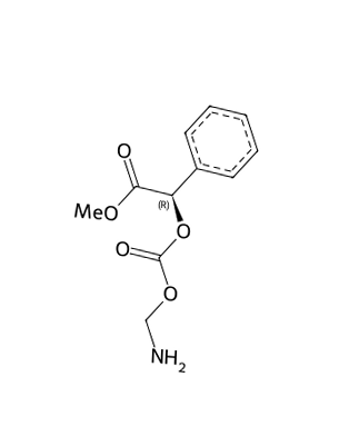 COC(=O)[C@H](OC(=O)OCN)c1ccccc1